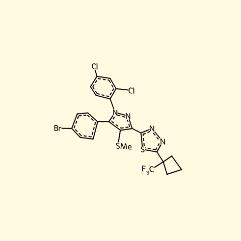 CSc1c(-c2nnc(C3(C(F)(F)F)CCC3)s2)nn(-c2ccc(Cl)cc2Cl)c1-c1ccc(Br)cc1